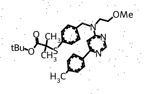 COCCN(Cc1ccc(SC(C)(C)C(=O)OC(C)(C)C)cc1)c1cc(-c2ccc(C)cc2)ncn1